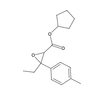 CCC1(c2ccc(C)cc2)OC1C(=O)OC1CCCC1